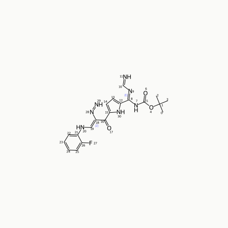 CC(C)(C)OC(=O)N/C(=N/C=N)c1ccc(C(=O)/C(=C/Nc2ccccc2F)N=N)[nH]1